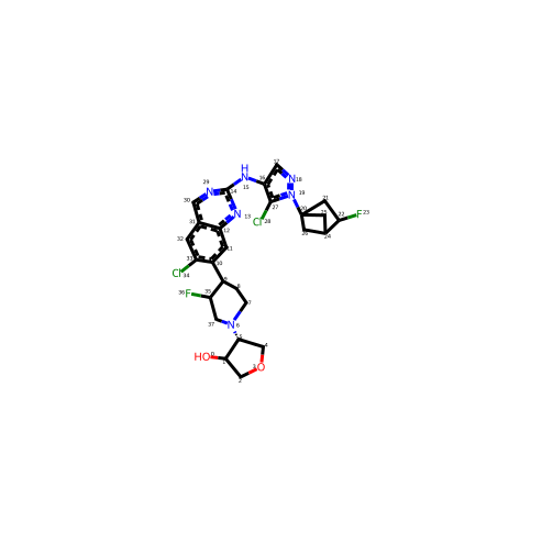 OC1COC[C@H]1N1CCC(c2cc3nc(Nc4cnn(C56CC(F)C(C5)C6)c4Cl)ncc3cc2Cl)C(F)C1